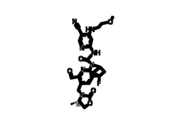 COCCNc1cc(NC(=O)N2c3nc(C=O)c(CN4C(=O)OC[C@@H]4C)cc3C3(F)CC2C3)ncc1C#N